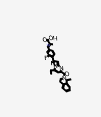 CCc1cc(C(=O)N2CCc3ccccc3C2C)nc2cc(-c3ccc(/C=C(\C)C(=O)O)cc3F)nn12